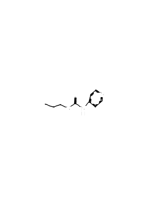 CCCNC(=O)Nc1ccncc1